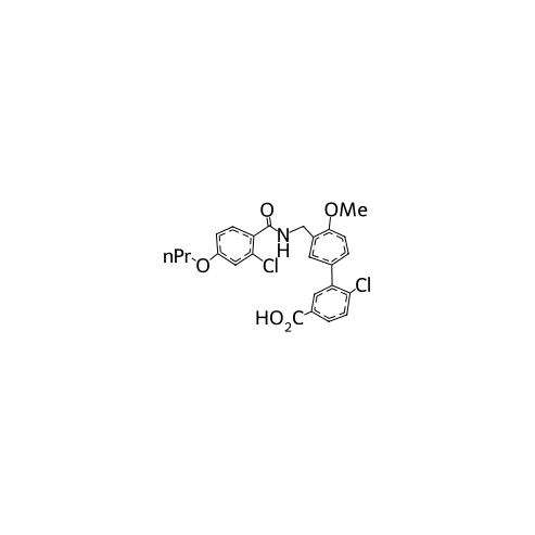 CCCOc1ccc(C(=O)NCc2cc(-c3cc(C(=O)O)ccc3Cl)ccc2OC)c(Cl)c1